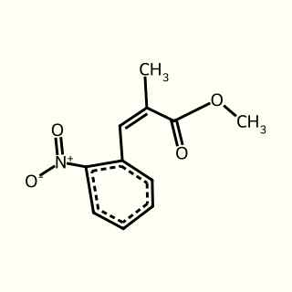 COC(=O)C(C)=Cc1ccccc1[N+](=O)[O-]